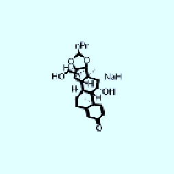 CCCC1O[C@@H]2C[C@H]3[C@@H]4CCC5=CC(=O)C=C[C@]5(C)[C@H]4[C@@H](O)C[C@]3(C)[C@]2(C(=O)CO)O1.[NaH]